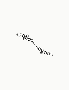 Cc1ccc(C(=O)Oc2ccc(OCCCCCCOc3ccc(OC(=O)c4ccc(C)cc4F)cc3)cc2)cc1